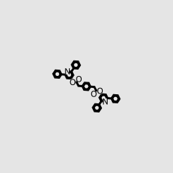 O=C(Cc1ccc(CC(=O)Oc2cc(-c3ccccc3)nc(-c3ccccc3)c2)cc1)Oc1cc(-c2ccccc2)nc(-c2ccccc2)c1